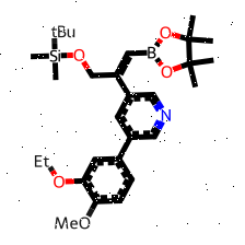 CCOc1cc(-c2cncc(/C(=C\B3OC(C)(C)C(C)(C)O3)CO[Si](C)(C)C(C)(C)C)c2)ccc1OC